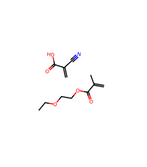 C=C(C#N)C(=O)O.C=C(C)C(=O)OCCOCC